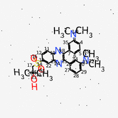 CN(C)c1cccc(-c2nc3ccc(S(=O)(=O)CC(C)(C)O)cc3nc2-c2cccc(N(C)C)c2)c1